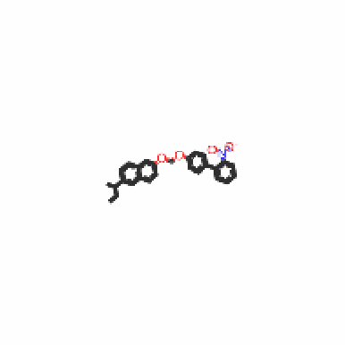 CCC(C)c1ccc2cc(OCOc3ccc(-c4ccccc4[N+](=O)[O-])cc3)ccc2c1